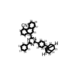 N#Cc1cccc2c(-c3nc(-c4ccccc4)nc(-c4ccc(C56CC7C[C@H](C5)C[C@@H](C7)C6)cc4)n3)cc3ccccc3c12